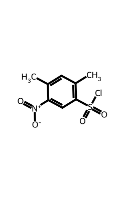 Cc1cc(C)c(S(=O)(=O)Cl)cc1[N+](=O)[O-]